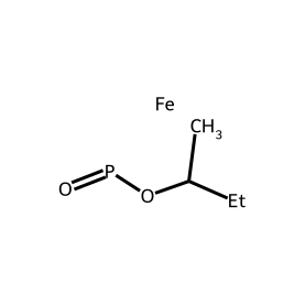 CCC(C)OP=O.[Fe]